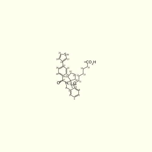 [2H]C1(N(Cc2ccccc2OCCCCCC(=O)O)C(=O)c2ccc(-c3ccsc3)cc2)CCCC1